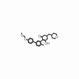 COCOc1ccc(-c2ccc(C)c(C3=C(O)CC(CC4CCOCC4)CC3=O)c2)cc1